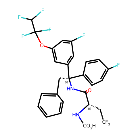 O=C(O)N[C@@H](CC(F)(F)F)C(=O)N[C@](Cc1ccccc1)(c1ccc(F)cc1)c1cc(F)cc(OC(F)(F)C(F)F)c1